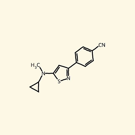 CN(c1cc(-c2ccc(C#N)cc2)ns1)C1CC1